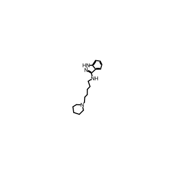 c1ccc2c(NCCCCCCN3CCCCC3)n[nH]c2c1